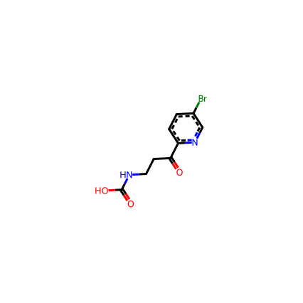 O=C(O)NCCC(=O)c1ccc(Br)cn1